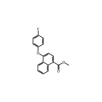 COC(=O)c1ccc(Oc2ccc(F)cc2)c2ccccc12